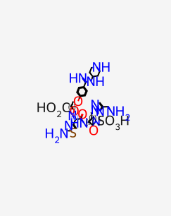 N=C(NC1CCNCC1)c1ccc(OC[C@H](O/N=C(\C(=O)N[C@@H]2C(=O)N(S(=O)(=O)O)[C@@H]2Cn2ncc(CN)n2)c2csc(N)n2)C(=O)O)cc1